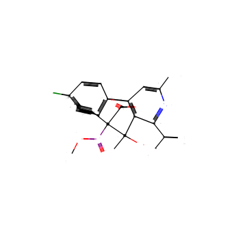 C#CC(C(=O)O)([PH](=O)OC)C(C)(O)c1c(-c2ccc(F)cc2)cc(C)nc1C(C)C